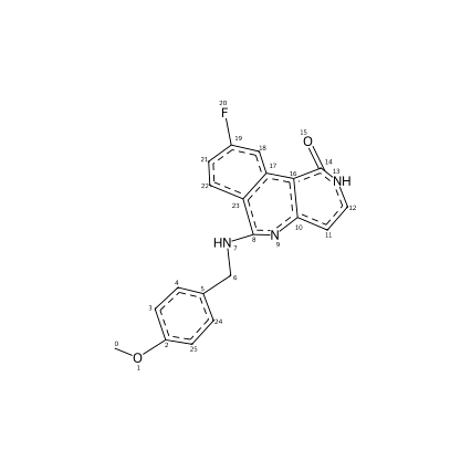 COc1ccc(CNc2nc3cc[nH]c(=O)c3c3cc(F)ccc23)cc1